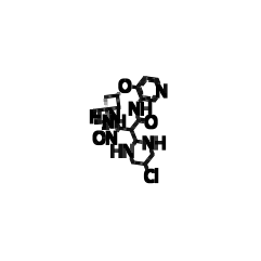 NC(N=O)C(C(=O)Nc1cnccc1O[C@H]1C[C@]2(CCN2)C1)C1NCC(Cl)CN1